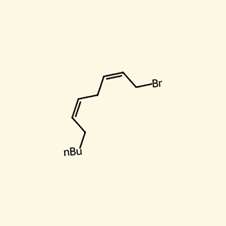 CCCCC/C=C\C/C=C\CBr